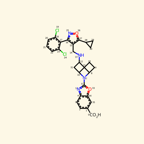 O=C(O)c1ccc2nc(N3C4CCC45C(NCc4c(-c6c(Cl)cccc6Cl)noc4C4CC4)CC35)oc2c1